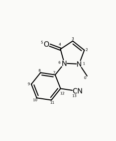 Cn1ccc(=O)n1-c1ccccc1C#N